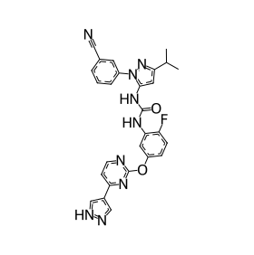 CC(C)c1cc(NC(=O)Nc2cc(Oc3nccc(-c4cn[nH]c4)n3)ccc2F)n(-c2cccc(C#N)c2)n1